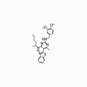 CCCCC(C)Nc1nc(NCc2ccc(OC)c(OC)c2)nc(C)c1-c1nc2ccccc2s1